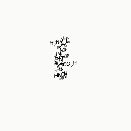 CC(Sc1nnn[nH]1)C1=C(C(=O)O)N2C(=O)C(NC(=O)Cc3ccccc3N)[C@@H]2SC1